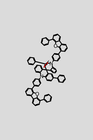 c1ccc(-c2ccc3c(c2)C2(c4ccccc4N3c3ccc(-c4cccc5c4oc4c(-c6ccccc6)cccc45)cc3)c3ccccc3N(c3ccc(-c4cccc5c4oc4c(-c6ccccc6)cccc45)cc3)c3ccc(-c4ccccc4)cc32)cc1